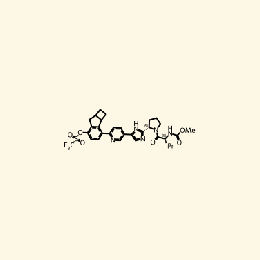 COC(=O)N[C@H](C(=O)N1CCC[C@H]1c1ncc(-c2ccc(-c3ccc(OS(=O)(=O)C(F)(F)F)c4c3C3CCC3C4)nc2)[nH]1)C(C)C